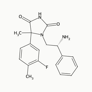 Cc1ccc(C2(C)C(=O)NC(=O)N2C[C@H](N)c2ccccc2)cc1F